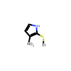 CCSc1[nH]ccc1[N+](=O)[O-]